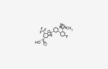 Cn1cnnc1-c1cc(F)ccc1-c1cccc(-c2nc3cc([C@@H](CO)N4CCC4)cc(C(F)(F)F)c3o2)c1